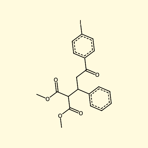 COC(=O)C(C(=O)OC)C(CC(=O)c1ccc(I)cc1)c1ccccc1